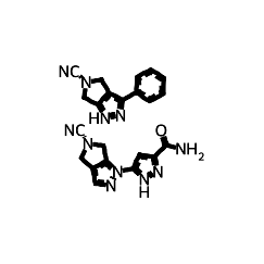 N#CN1Cc2[nH]nc(-c3ccccc3)c2C1.N#CN1Cc2cnn(-c3cc(C(N)=O)n[nH]3)c2C1